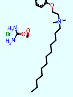 C=O.CCCCCCCCCCCC[N+](C)(C)CCOc1ccccc1.NC(N)=O.[Br-]